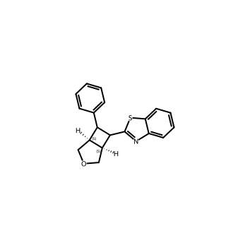 c1ccc(C2C(c3nc4ccccc4s3)[C@H]3COC[C@@H]23)cc1